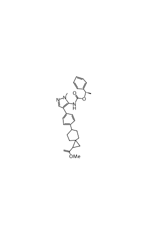 C=C(OC)C1CC12CCC(c1ccc(-c3cnn(C)c3NC(=O)O[C@H](C)c3ccccc3)cc1)CC2